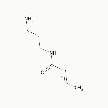 C/C=C/C(=O)NCCCN